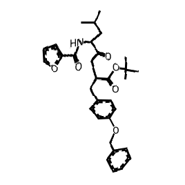 CC(C)CC(NC(=O)c1ccco1)C(=O)CC(Cc1ccc(OCc2ccccc2)cc1)C(=O)OC(C)(C)C